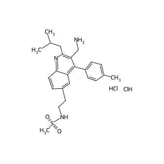 Cc1ccc(-c2c(CN)c(CC(C)C)nc3ccc(CCNS(C)(=O)=O)cc23)cc1.Cl.Cl